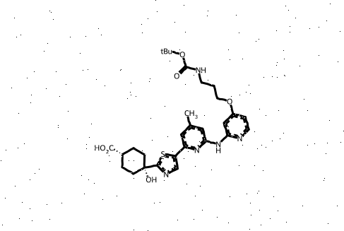 Cc1cc(Nc2cc(OCCCNC(=O)OC(C)(C)C)ccn2)nc(-c2cnc([C@]3(O)CC[C@@H](C(=O)O)CC3)s2)c1